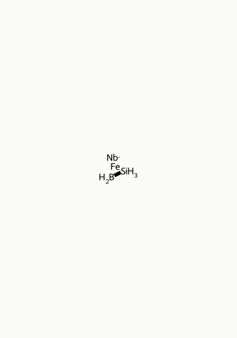 B[SiH3].[Fe].[Nb]